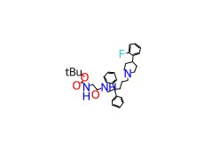 CC(C)(C)OC(=O)NCC(=O)NCC(CCCN1CCC(c2ccccc2F)CC1)(c1ccccc1)c1ccccc1